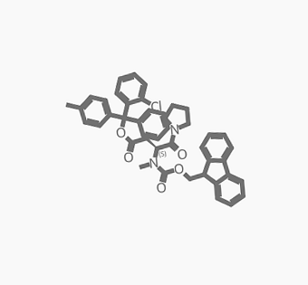 Cc1ccc(C(OC(=O)C[C@@H](C(=O)N2CCCC2)N(C)C(=O)OCC2c3ccccc3-c3ccccc32)(c2ccccc2)c2ccccc2Cl)cc1